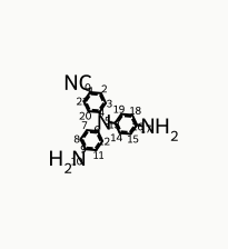 N#Cc1ccc(N(c2ccc(N)cc2)c2ccc(N)cc2)cc1